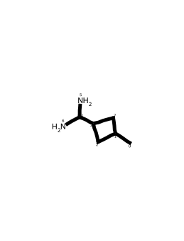 CC1CC([C](N)N)C1